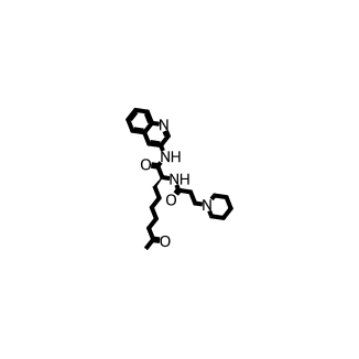 CC(=O)CCCCC[C@H](NC(=O)CCN1CCCCC1)C(=O)Nc1cnc2ccccc2c1